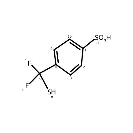 O=S(=O)(O)c1ccc(C(F)(F)S)cc1